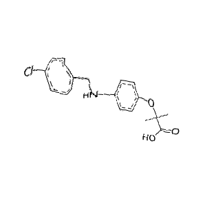 CC(C)(Oc1ccc(NCc2ccc(Cl)cc2)cc1)C(=O)O